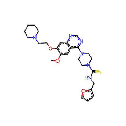 COc1cc2c(N3CCN(C(=S)NCc4ccco4)CC3)ncnc2cc1OCCN1CCCCC1